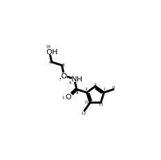 CC1=CC(C(=O)NOCCO)=C(C)C1